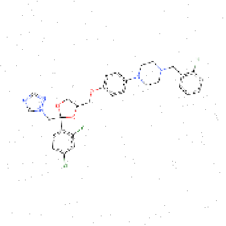 Clc1ccc(C2(Cn3cncn3)OCC(COc3ccc(N4CCN(Cc5ccccc5Cl)CC4)cc3)O2)c(Cl)c1